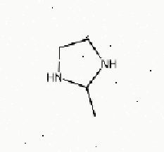 CC1N[CH]CN1